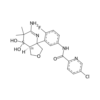 CC1(C)C(N)=NC2(c3cc(NC(=O)c4ccc(Cl)cn4)ccc3F)COC[C@H]2S1(O)O